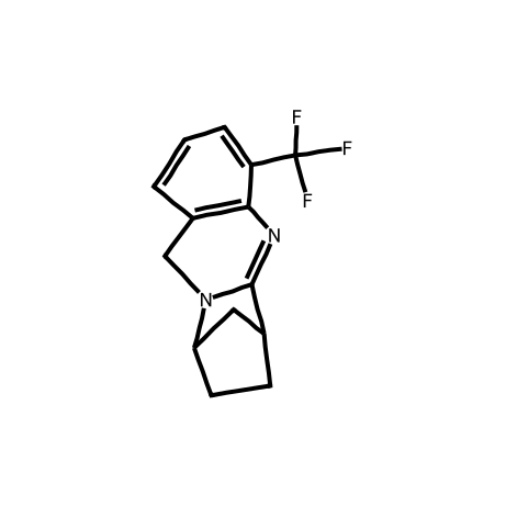 FC(F)(F)c1cccc2c1N=C1C3CCC(C3)N1C2